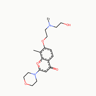 CCN(CCO)CCOc1ccc2c(=O)cc(N3CCOCC3)oc2c1C